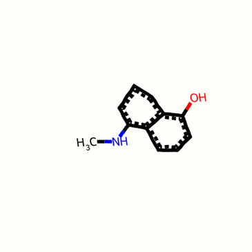 CNc1cccc2c(O)cccc12